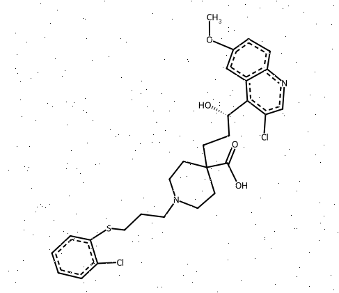 COc1ccc2ncc(Cl)c([C@@H](O)CCC3(C(=O)O)CCN(CCCSc4ccccc4Cl)CC3)c2c1